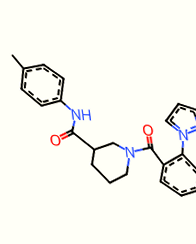 Cc1ccc(NC(=O)C2CCCN(C(=O)c3ccccc3-n3cccn3)C2)cc1